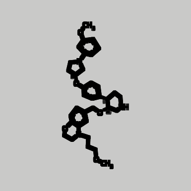 COCCCN1CCOc2ccc(CO[C@H]3CNCC[C@@H]3c3ccc(O[C@H]4CCN(c5cccc(OC)c5)C4)cc3)cc21